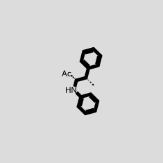 CC(=O)[C@@H](Nc1ccccc1)[C@@H](C)c1ccccc1